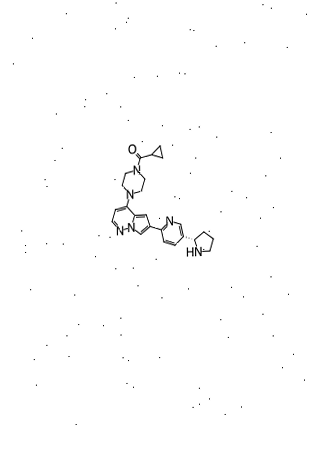 O=C(C1CC1)N1CCN(c2ccnn3cc(-c4ccc([C@@H]5CCCN5)cn4)cc23)CC1